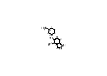 CC(C)c1c(O[C@H]2CCC[C@H](N)C2)ccc2[nH]ncc12